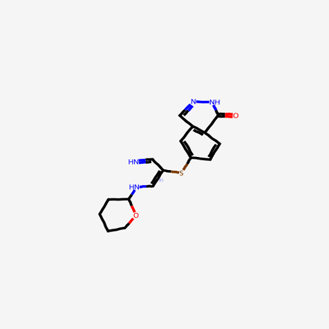 N=C/C(=C\NC1CCCCO1)Sc1ccc2c(=O)[nH]ncc2c1